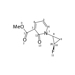 COC(=O)c1cccn(C2C[C@H]2F)c1=O